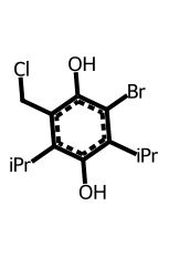 CC(C)c1c(O)c(C(C)C)c(CCl)c(O)c1Br